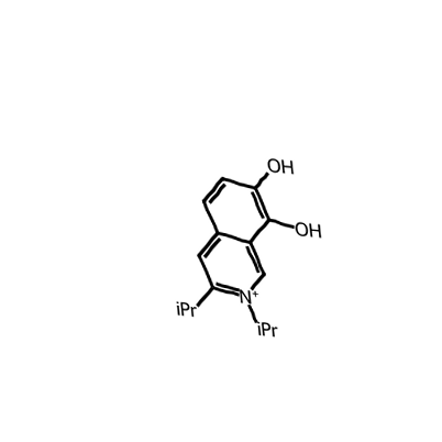 CC(C)c1cc2ccc(O)c(O)c2c[n+]1C(C)C